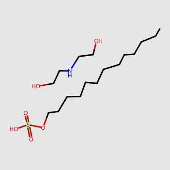 CCCCCCCCCCCCCOS(=O)(=O)O.OCCNCCO